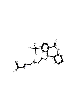 O=C(O)/C=C/CNCCCN1c2ccccc2NC(=O)c2ccc(C(F)(F)F)cc21